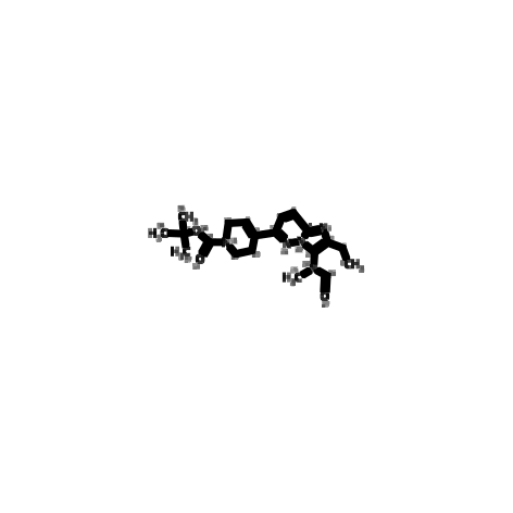 CCc1nc2ccc(C3=CCN(C(=O)OC(C)(C)C)CC3)nn2c1N(C)C=O